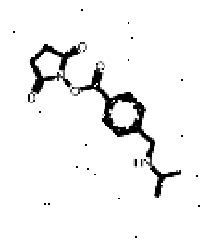 CC(C)NCc1ccc(C(=O)ON2C(=O)CCC2=O)cc1